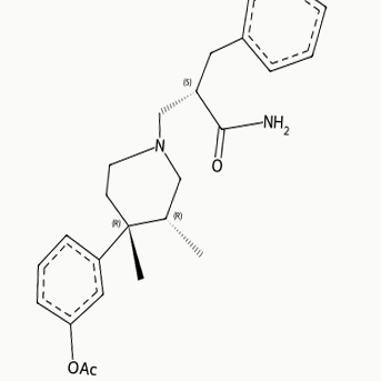 CC(=O)Oc1cccc([C@]2(C)CCN(C[C@H](Cc3ccccc3)C(N)=O)C[C@@H]2C)c1